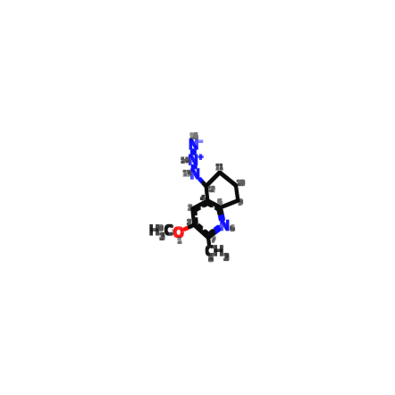 COc1cc2c(nc1C)CCCC2N=[N+]=[N-]